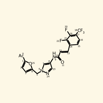 CC(=O)c1ccc(Cn2cc(NC(=O)C=Cc3ccc(C(F)(F)F)c(F)c3F)cn2)o1